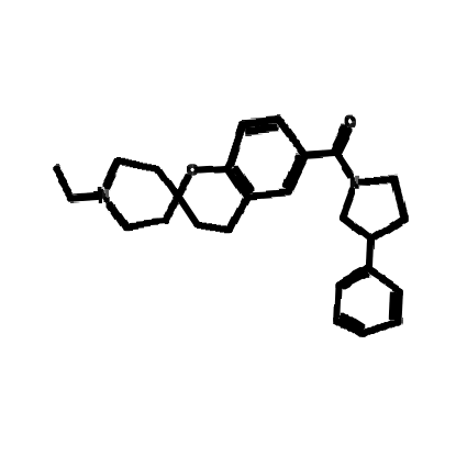 CCN1CCC2(CCc3cc(C(=O)N4CCC(c5ccccc5)C4)ccc3O2)CC1